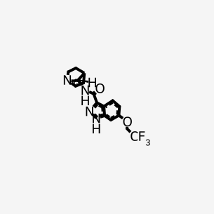 O=C(N[C@@H]1CN2CCC1CC2)c1n[nH]c2cc(OCC(F)(F)F)ccc12